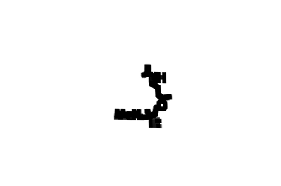 C=C(C)NCCCC(C)OCCC(C)(CC)CNC